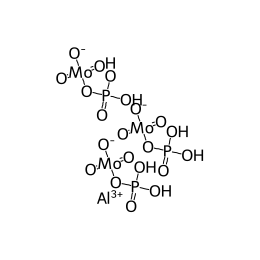 O=P(O)(O)[O][Mo](=[O])(=[O])[O-].O=P(O)(O)[O][Mo](=[O])(=[O])[O-].O=P(O)(O)[O][Mo](=[O])(=[O])[O-].[Al+3]